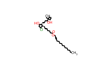 CCCCCCCCCCCCC#CCOC(=O)CCCC=CC[C@@H]1[C@@H](C=CC[C@H](O)C2(CC)CCC2)[C@H](O)C[C@H]1Cl